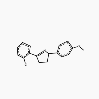 CSc1ccc(C2CCC(c3ccccc3Cl)=N2)cc1